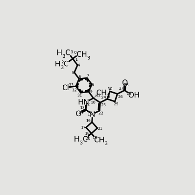 CC(C)(C)CCc1ccc([C@]2(C)NC(=O)N(C3CC(C)(C)C3)C=C2C2CC(C(=O)O)C2)cc1Cl